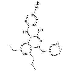 CCCc1cc(CC)cc([C@@H](Nc2ccc(C#N)cc2)C(=O)O)c1OCc1cccnc1